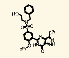 CCCOc1ccc(S(=O)(=O)N(CCO)Cc2ccccc2)cc1-c1nc2c(CCC)n[nH]c2c(=O)[nH]1